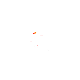 O.O.O.O.O.O.O=[PH2]O.[Ni]